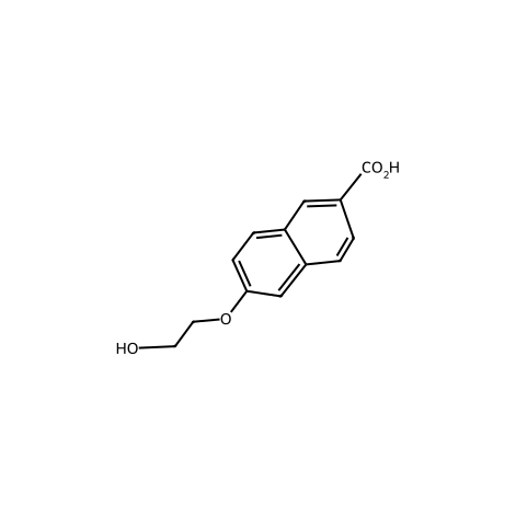 O=C(O)c1ccc2cc(OCCO)ccc2c1